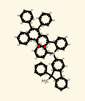 CC1(c2ccccc2)c2ccccc2-c2ccc(N(c3ccccc3)c3ccccc3-c3ccc4c(c3)c(-c3ccccc3)c(-c3ccccc3)c3ccccc34)cc21